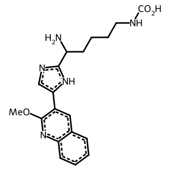 COc1nc2ccccc2cc1-c1cnc(C(N)CCCCNC(=O)O)[nH]1